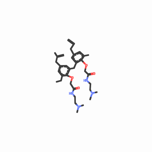 C=CCc1cc(C)c(OCC(=O)NCCN(C)C)c(Cc2cc(CC(=C)C)cc(CC)c2OCC(=O)NCCN(C)C)c1